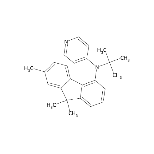 Cc1ccc2c(c1)C(C)(C)c1cccc(N(c3ccncc3)C(C)(C)C)c1-2